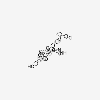 CC1(C)CCC(c2ccc(Cl)cc2)=C(CN2CCN(c3ccc(C(=O)NS(=O)(=O)c4cc5c(c([N+](=O)[O-])c4)N[C@H](COC4CCC(O)CC4)CO5)c(Oc4cnc5[nH]ccc5c4)c3)CC2)C1